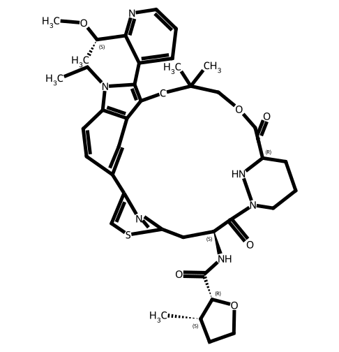 CCn1c(-c2cccnc2[C@H](C)OC)c2c3cc(ccc31)-c1csc(n1)C[C@H](NC(=O)[C@@H]1OCC[C@@H]1C)C(=O)N1CCC[C@](C=O)(COCC(C)(C)C2)N1